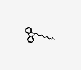 CC(=O)CCCCCCn1c2ccccc2c2ccccc21